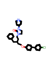 O=C1N(CCC(CCOc2ccc(-c3ccc(Cl)cc3)cc2)Cc2ccccc2)CCN1c1ccncc1